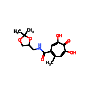 Cc1cc(O)c(=O)c(O)cc1C(=O)NCC1COC(C)(C)O1